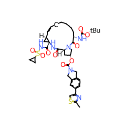 Cc1nc(-c2ccc3c(c2)CN(C(=O)O[C@@H]2C[C@H]4C(=O)N[C@]5(C(=O)NS(=O)(=O)C6CC6)C[C@H]5/C=C\CCCCC[C@H](NC(=O)OC(C)(C)C)C(=O)N4C2)C3)cs1